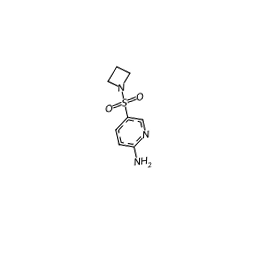 Nc1ccc(S(=O)(=O)N2CCC2)cn1